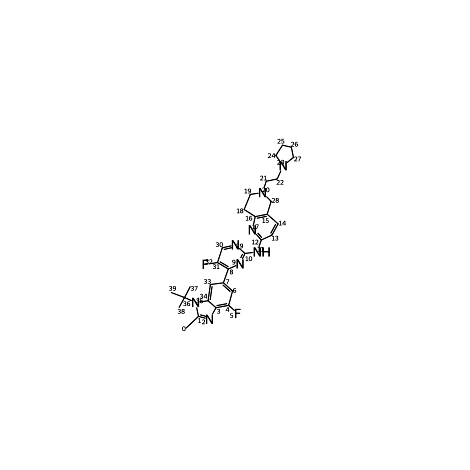 Cc1nc2c(F)cc(-c3nc(Nc4ccc5c(n4)CCN(CCN4CCCC4)C5)ncc3F)cc2n1C(C)(C)C